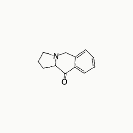 O=C1c2ccccc2CN2CCCC12